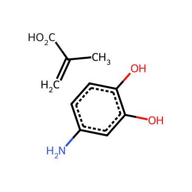 C=C(C)C(=O)O.Nc1ccc(O)c(O)c1